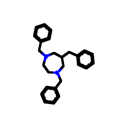 c1ccc(CC2CN(Cc3ccccc3)CCN(Cc3ccccc3)C2)cc1